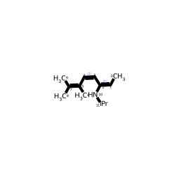 C/C=C(\C=C/C(C)=C(C)C)NC(C)C